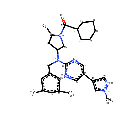 CC[C@@H]1CC(N(Cc2cc(C(F)(F)F)cc(C(F)(F)F)c2)c2ncc(-c3cnn(C)c3)cn2)CN1C(=O)C1CCCCC1